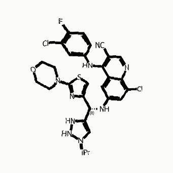 CC(C)N1C=C([C@@H](Nc2cc(Cl)c3ncc(C#N)c(Nc4ccc(F)c(Cl)c4)c3c2)c2csc(N3CCOCC3)n2)NN1